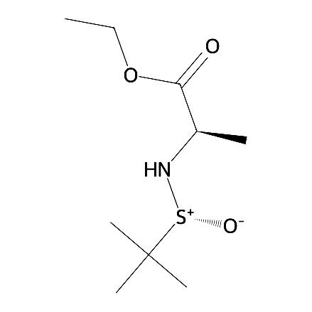 CCOC(=O)[C@@H](C)N[S@+]([O-])C(C)(C)C